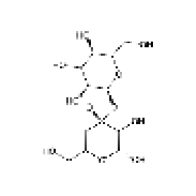 OCC1C[C@](O)(O[C@@H]2OC(CO)[C@H](O)C(O)[C@@H]2O)C(O)[C@H](O)O1